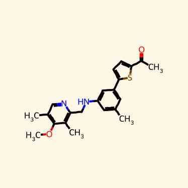 COc1c(C)cnc(CNc2cc(C)cc(-c3ccc(C(C)=O)s3)c2)c1C